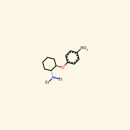 CCN(CC)[C@@H]1CCCC[C@H]1Oc1ccc([N+](=O)[O-])cc1